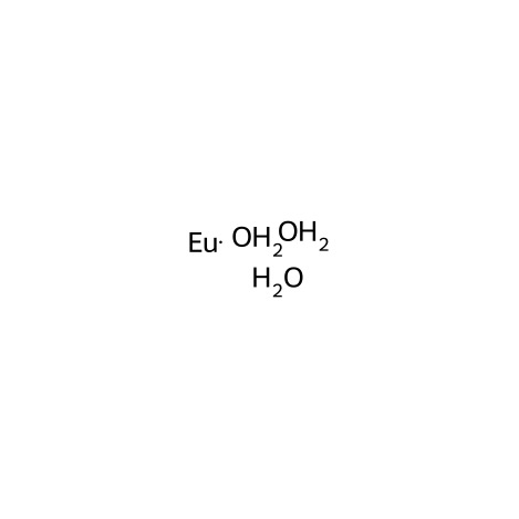 O.O.O.[Eu]